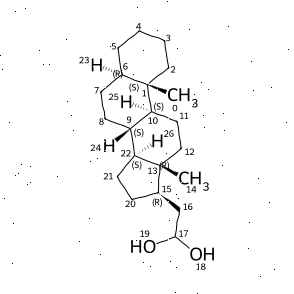 C[C@]12CCCC[C@@H]1CC[C@@H]1[C@@H]2CC[C@]2(C)[C@@H](CC(O)O)CC[C@@H]12